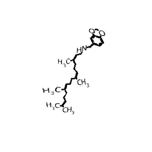 CC(C)=CCCC(C)=CCCC(C)=CCCC(C)=CCNCc1ccc2c(c1)OCO2